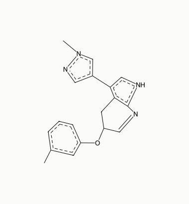 Cc1cccc(OC2C=Nc3[nH]cc(-c4cnn(C)c4)c3C2)c1